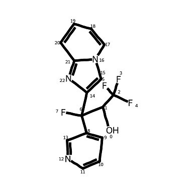 OC(C(F)(F)F)C(F)(c1cccnc1)c1cn2ccccc2n1